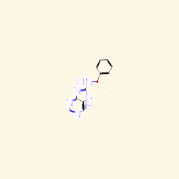 O=C(Nc1nc2ncncc2[nH]1)c1ccccc1